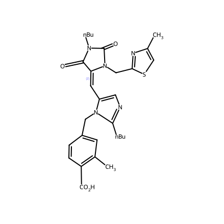 CCCCc1ncc(/C=C2/C(=O)N(CCCC)C(=O)N2Cc2nc(C)cs2)n1Cc1ccc(C(=O)O)c(C)c1